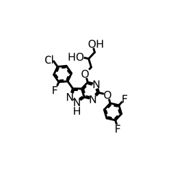 OCC(O)COc1nc(Oc2ccc(F)cc2F)nc2[nH]nc(-c3ccc(Cl)cc3F)c12